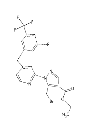 CCOC(=O)c1cnn(-c2cc(Cc3cc(F)cc(C(F)(F)F)c3)ccn2)c1CBr